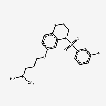 CN(C)CCCOc1ccc2c(c1)N(S(=O)(=O)c1cccc(F)c1)CCS2